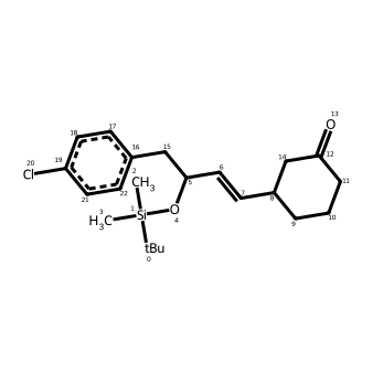 CC(C)(C)[Si](C)(C)OC(C=CC1CCCC(=O)C1)Cc1ccc(Cl)cc1